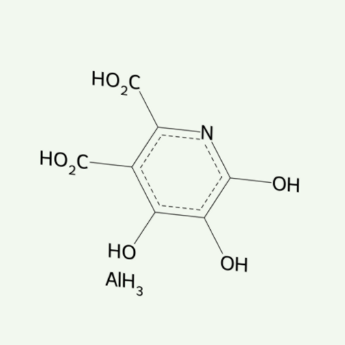 O=C(O)c1nc(O)c(O)c(O)c1C(=O)O.[AlH3]